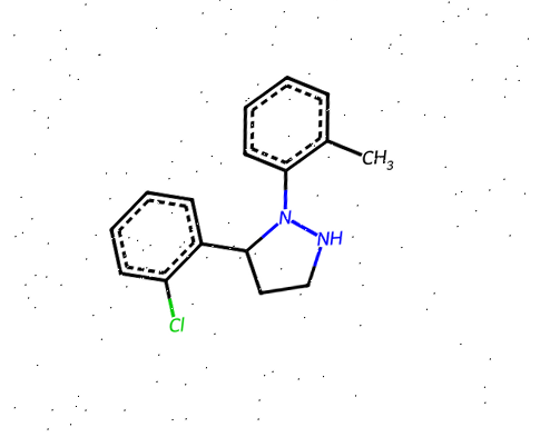 Cc1ccccc1N1NCCC1c1ccccc1Cl